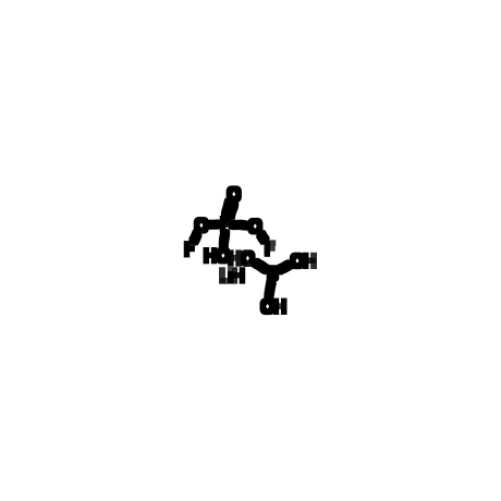 O=P(O)(OF)OF.OB(O)O.[LiH]